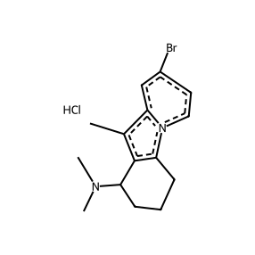 Cc1c2c(n3ccc(Br)cc13)CCCC2N(C)C.Cl